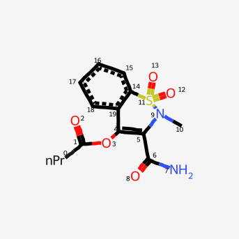 CCCC(=O)OC1=C(C(N)=O)N(C)S(=O)(=O)c2ccccc21